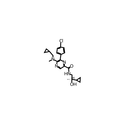 CN(CC1CC1)c1ncc(C(=O)NC[C@](C)(O)C2CC2)nc1-c1ccc(Cl)cc1